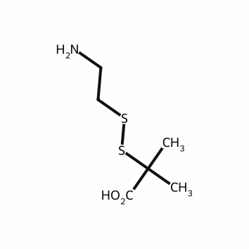 CC(C)(SSCCN)C(=O)O